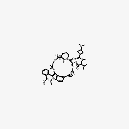 CCn1c(-c2cccnc2[C@H](C)OC)c2c3cc(ccc31)-c1csc(n1)C[C@H](NC(=O)C(C(C)C)N(C)C(=O)N1CC(N(C)C)C1)C(=O)N1CCC[C@H](N1)C(=O)OCC(C)(C)C2